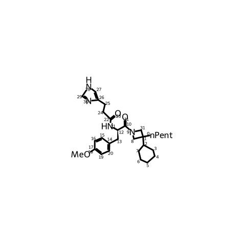 CCCCCC1(C2CCCCC2)CN(C(=O)[C@@H](Cc2ccc(OC)cc2)NC(=O)CCc2c[nH]cn2)C1